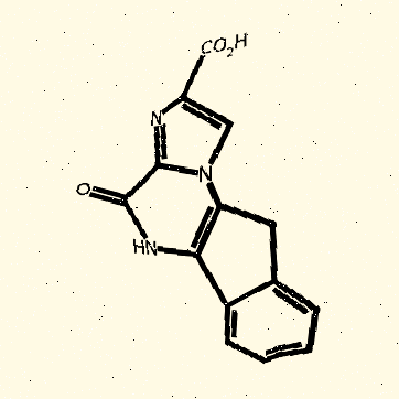 O=C(O)c1cn2c3c([nH]c(=O)c2n1)-c1ccccc1C3